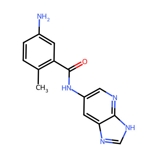 Cc1ccc(N)cc1C(=O)Nc1cnc2[nH]cnc2c1